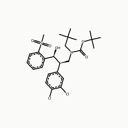 CC(C)(C)CN(C[C@@H](c1ccc(Cl)c(Cl)c1)[C@H](O)c1ccccc1S(C)(=O)=O)C(=O)OC(C)(C)C